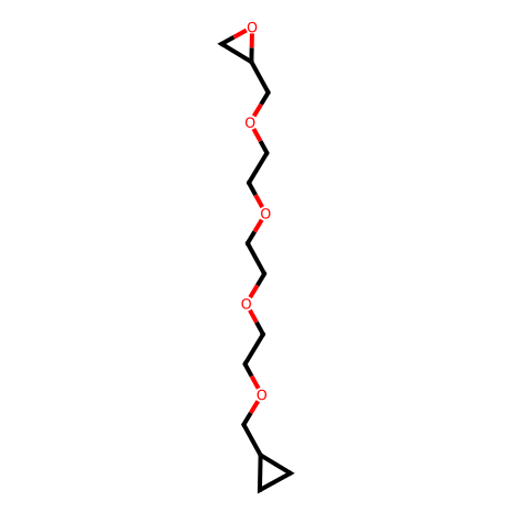 C(COCCOCC1CO1)OCCOCC1CC1